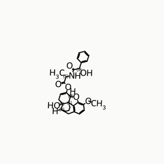 COc1ccc2c3c1O[C@H]1C(OC(=O)[C@H](C)NC(=O)[C@@H](O)c4ccccc4)=CC[C@@]4(O)[C@H](CCC[C@]314)C2